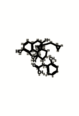 CC(=O)N(c1ncccc1C)[C@H]1CC[C@@]2(O)[C@H]3Cc4ccc(O)c5c4[C@@]2(CCN3CC2CC2)[C@H]1O5